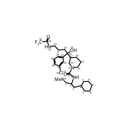 CNCC(CC1CCCCC1)NC(=O)N1CCCC(C(O)(CCCNC(=O)C(F)(F)F)c2cccc(Cl)c2)C1